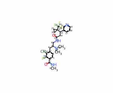 CNC(=O)c1ccc(CC(CNC(=O)CC(c2cccnc2)C2(C(F)(F)F)CC2)N(C)C)c(Cl)c1F